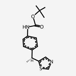 C[C@H](c1ccc(NC(=O)OC(C)(C)C)cc1)c1cncs1